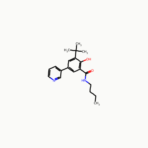 CCCCNC(=O)c1cc(-c2cccnc2)cc(C(C)(C)C)c1O